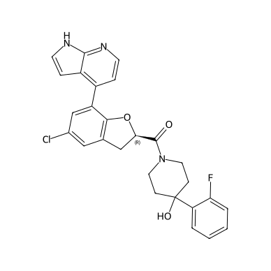 O=C([C@H]1Cc2cc(Cl)cc(-c3ccnc4[nH]ccc34)c2O1)N1CCC(O)(c2ccccc2F)CC1